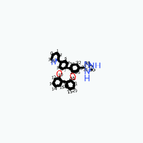 c1ccc(-c2ccc3c(c2)Oc2ccccc2-c2ccccc2Oc2cc(C4=NNCN4)ccc2-3)nc1